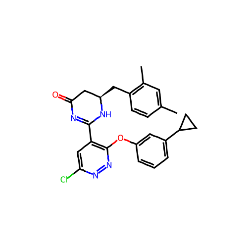 Cc1ccc(C[C@@H]2CC(=O)N=C(c3cc(Cl)nnc3Oc3cccc(C4CC4)c3)N2)c(C)c1